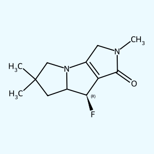 CN1CC2=C(C1=O)[C@@H](F)C1CC(C)(C)CN21